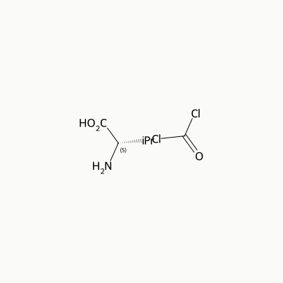 CC(C)[C@H](N)C(=O)O.O=C(Cl)Cl